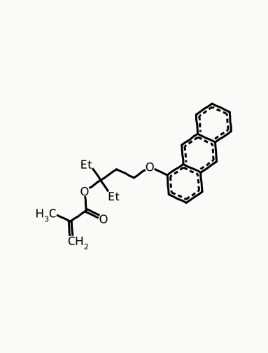 C=C(C)C(=O)OC(CC)(CC)CCOc1cccc2cc3ccccc3cc12